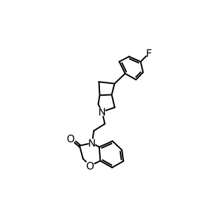 O=C1COc2ccccc2N1CCN1CC2CC(c3ccc(F)cc3)C2C1